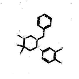 C[C@H]1CN(Cc2ccccc2)[C@H](c2ccc(F)c(F)c2)CC1(F)F